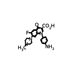 CN1CCN(c2cc3c(cc2F)c(=O)c(C(=O)O)cn3-c2ccc(N)cc2)CC1